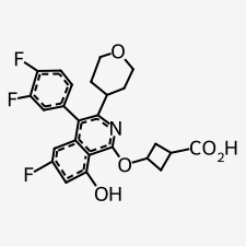 O=C(O)C1CC(Oc2nc(C3CCOCC3)c(-c3ccc(F)c(F)c3)c3cc(F)cc(O)c23)C1